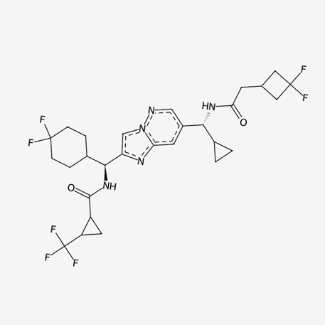 O=C(CC1CC(F)(F)C1)N[C@@H](c1cnn2cc([C@@H](NC(=O)C3CC3C(F)(F)F)C3CCC(F)(F)CC3)nc2c1)C1CC1